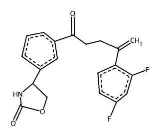 C=C(CCC(=O)c1cccc(C2COC(=O)N2)c1)c1ccc(F)cc1F